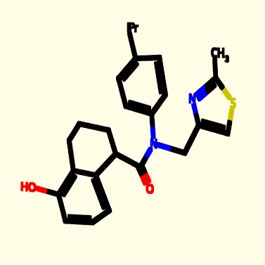 Cc1nc(CN(C(=O)C2CCCc3c(O)cccc32)c2ccc(C(C)C)cc2)cs1